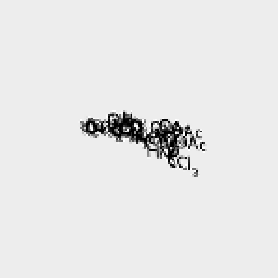 CC(=O)O[C@@H]1[C@@H](OC(C)=O)[C@@H](OC(=N)C(Cl)(Cl)Cl)O[C@H](C(=O)OCC(C)CN2CCC[C@@H]3Cc4c(ccc(OCc5ccccc5)c4O)C[C@H]32)[C@H]1OC(C)=O